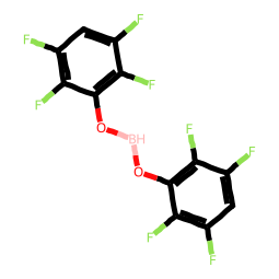 Fc1cc(F)c(F)c(OBOc2c(F)c(F)cc(F)c2F)c1F